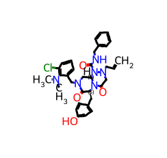 C=CCN1CC(=O)N2[C@@H](Cc3ccc(O)cc3)C(=O)N(Cc3cccc(Cl)c3N(C)C)C[C@@H]2N1C(=O)NCc1ccccc1